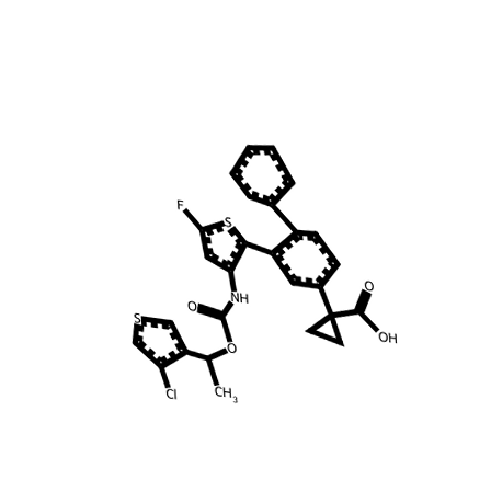 CC(OC(=O)Nc1cc(F)sc1-c1cc(C2(C(=O)O)CC2)ccc1-c1ccccc1)c1cscc1Cl